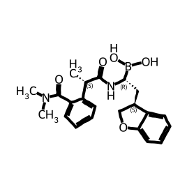 C[C@H](C(=O)N[C@@H](C[C@@H]1COc2ccccc21)B(O)O)c1ccccc1C(=O)N(C)C